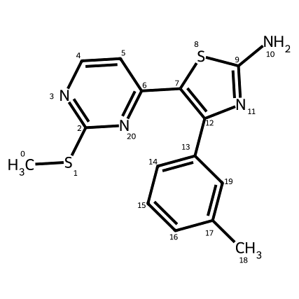 CSc1nccc(-c2sc(N)nc2-c2cccc(C)c2)n1